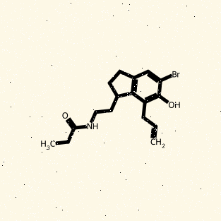 C=CCc1c(O)c(Br)cc2c1C(CCNC(=O)CC)CC2